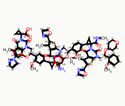 CNC(=O)C1(n2c(=O)c3c(C)c(-c4ncco4)sc3n(C[C@H](OC3CCOCC3)c3ccccc3OC)c2=O)CC1c1ccc([C@H](Cn2c(=O)n(C3(C(N)=O)CC3c3ccc([C@H](Cn4c(=O)n(C5(C(=O)O)CC5)c(=O)c5c(C)c(-n6cccn6)sc54)OC4CCOCC4)c(OC)c3)c(=O)c3c(C)c(-c4ncco4)sc32)OC2CCOCC2)c(OC)c1